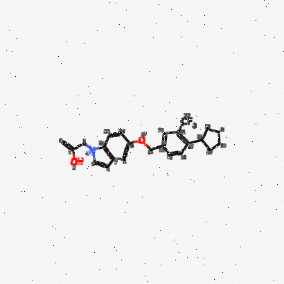 C=C(O)Cn1ccc2cc(OCc3ccc(C4CCCC4)c(C(F)(F)F)c3)ccc21